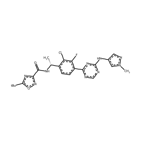 C[C@@H](NC(=O)c1noc(C(C)(C)C)n1)c1ccc(-c2ncnc(Nc3cnn(C)c3)n2)c(F)c1Cl